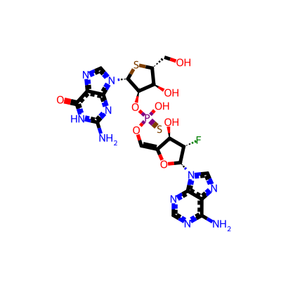 Nc1nc2c(ncn2[C@@H]2S[C@H](CO)[C@@H](O)[C@H]2OP(O)(=S)O/C=C2/O[C@@H](n3cnc4c(N)ncnc43)[C@@H](F)[C@@H]2O)c(=O)[nH]1